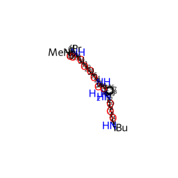 CCC(C)NCCOCCOCCOCCN/C1=C(\N)C(OCC(=O)NCCOCCOCCOCCOCCC(=O)N[C@H](C(=O)NC)C(C)C)CCCCC1